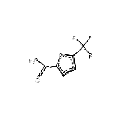 NC(=O)c1ccc(C(F)(F)F)o1